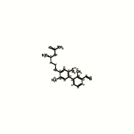 CC(=O)O[C@H](C)CCOc1nc(C)c(-c2cccc(C=O)c2C)cc1C